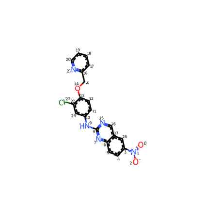 O=[N+]([O-])c1ccc2nc(Nc3ccc(OCc4ccccn4)c(Cl)c3)ncc2c1